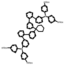 CCCCCCc1ccc(N(c2ccc(CCCCCC)cc2)c2cccc(-c3ccccc3-c3cccc(C4(c5cccc(-c6ccccc6-c6cccc(N(c7ccc(CCCCCC)cc7)c7ccc(CCCCCC)cc7)c6)c5)CCCCC4)c3)c2)cc1